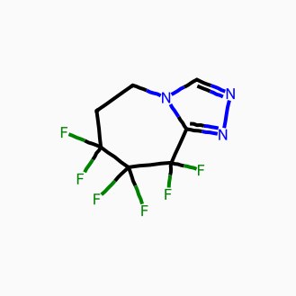 FC1(F)CCn2cnnc2C(F)(F)C1(F)F